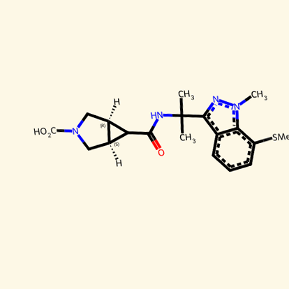 CSc1cccc2c(C(C)(C)NC(=O)C3[C@H]4CN(C(=O)O)C[C@@H]34)nn(C)c12